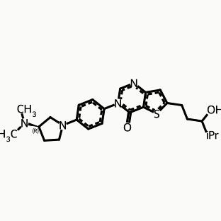 CC(C)C(O)CCc1cc2ncn(-c3ccc(N4CC[C@@H](N(C)C)C4)cc3)c(=O)c2s1